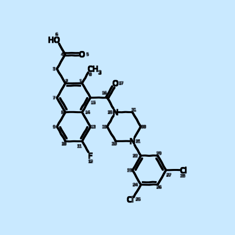 Cc1c(CC(=O)O)cc2ccc(F)cc2c1C(=O)N1CCN(c2cc(Cl)cc(Cl)c2)CC1